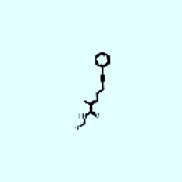 C/C(=C\CCC#Cc1ccccc1)C(=O)NCC(C)C